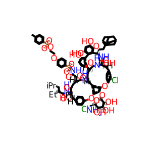 CC[C@H](CC(C)C)C(=O)N[C@H]1C(=O)C[C@@H](CC(=O)NS(=O)(=O)c2ccc(OCCOS(=O)(=O)c3ccc(C)cc3)cc2)C(=O)N[C@H]2C(=O)C[C@H]3C(=O)N[C@H](C(=O)N[C@H](C(=O)CC4C5CC6CC(C5)CC4C6)c4cc(O)cc(O)c4-c4cc3ccc4O)[C@H](O)c3ccc(c(Cl)c3)Oc3cc2cc(c3O[C@@H]2O[C@H](CN)[C@@H](O)[C@H](O)[C@H]2O)Oc2ccc(cc2Cl)[C@H]1O